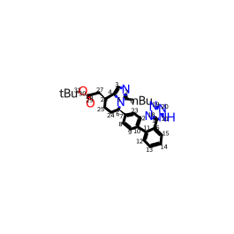 CCCCc1ncc2n1[C@@H](c1ccc(-c3ccccc3-c3nnn[nH]3)cc1)CC[C@H]2CC(=O)OC(C)(C)C